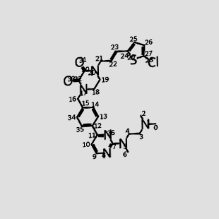 CN(C)CCN(C)c1nccc(-c2ccc(CN3CCN(CC=Cc4ccc(Cl)s4)C(=O)C3=O)cc2)n1